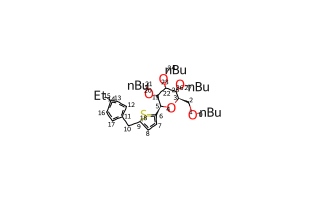 CCCCOC[C@H]1O[C@@H](c2ccc(Cc3ccc(CC)cc3)s2)[C@H](OCCCC)[C@@H](OCCCC)[C@@H]1OCCCC